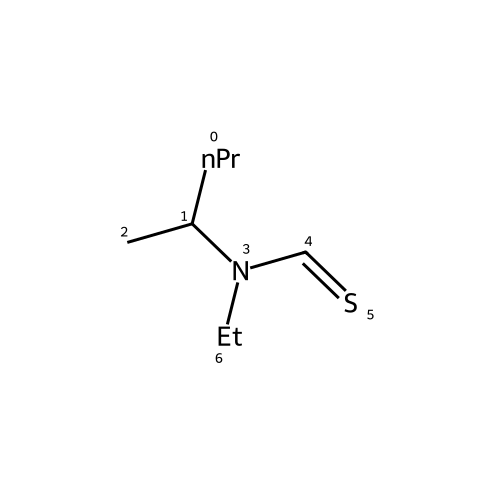 CCCC(C)N(C=S)CC